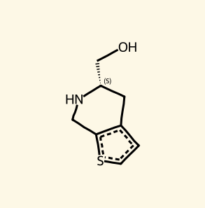 OC[C@@H]1Cc2ccsc2CN1